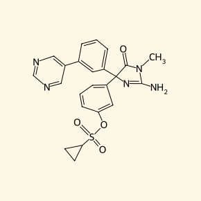 CN1C(=O)C(c2cccc(OS(=O)(=O)C3CC3)c2)(c2cccc(-c3cncnc3)c2)N=C1N